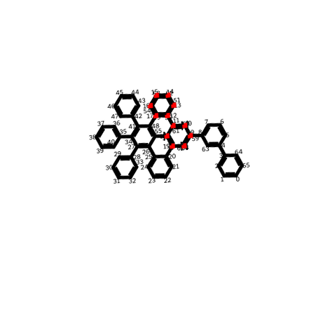 c1ccc(-c2cccc(-c3nc(-c4ccccc4)nc(-c4ccccc4-c4c(-c5ccccc5)c(-c5ccccc5)c(-c5ccccc5)c(-c5ccccc5)c4-c4ccccc4)n3)c2)cc1